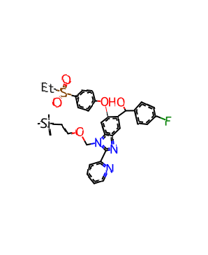 CCS(=O)(=O)c1ccc(Oc2cc3c(cc2C(O)c2ccc(F)cc2)nc(-c2ccccn2)n3COCC[Si](C)(C)C)cc1